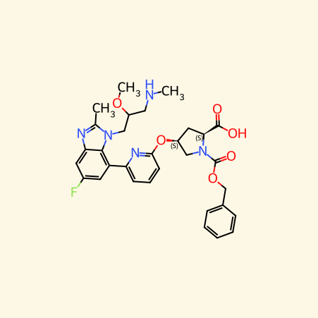 CNCC(Cn1c(C)nc2cc(F)cc(-c3cccc(O[C@H]4C[C@@H](C(=O)O)N(C(=O)OCc5ccccc5)C4)n3)c21)OC